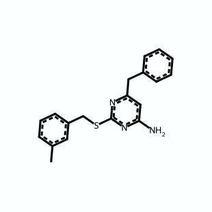 Cc1cccc(CSc2nc(N)cc(Cc3ccccc3)n2)c1